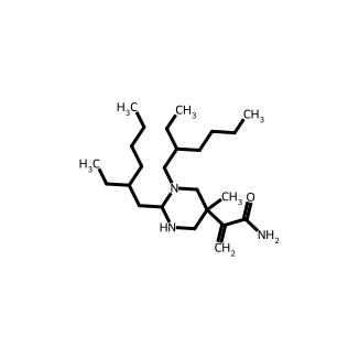 C=C(C(N)=O)C1(C)CNC(CC(CC)CCCC)N(CC(CC)CCCC)C1